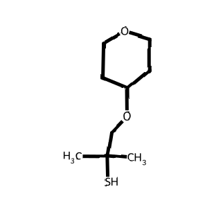 CC(C)(S)COC1CCOCC1